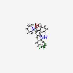 Cc1cccc2c(Nc3cccc(C(F)(F)F)c3)ccc(C(=O)N3CCCCC3)c12